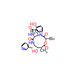 CCC(C)C1OC(=O)[C@H](C)[C@H](O)[C@H](Cc2cccnc2)NC(=O)[C@@H](NC(=O)c2ccccc2O)[C@@H](C)NC1=O